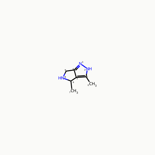 Cc1[nH]nc2c1C(C)NC2